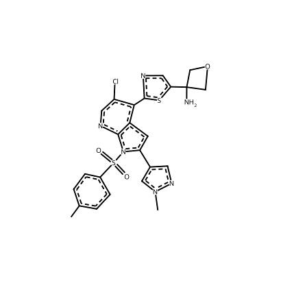 Cc1ccc(S(=O)(=O)n2c(-c3cnn(C)c3)cc3c(-c4ncc(C5(N)COC5)s4)c(Cl)cnc32)cc1